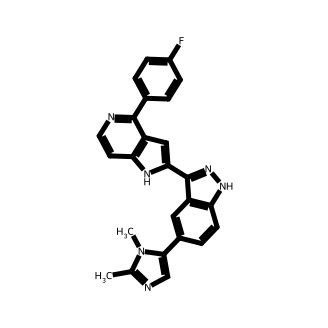 Cc1ncc(-c2ccc3[nH]nc(-c4cc5c(-c6ccc(F)cc6)nccc5[nH]4)c3c2)n1C